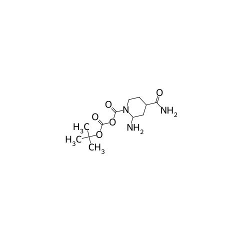 CC(C)(C)OC(=O)OC(=O)N1CCC(C(N)=O)CC1N